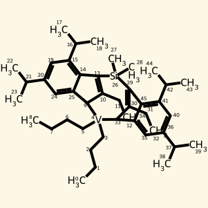 CCC[CH2][V]1([CH2]CCC)[CH]2C(CC)=C(c3c(C(C)C)cc(C(C)C)cc32)[Si](C)(C)C2=C(CC)[CH]1c1cc(C(C)C)cc(C(C)C)c12